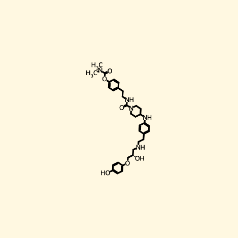 CN(C)C(=O)Oc1ccc(CCNC(=O)N2CCC(Nc3ccc(CCNC[C@H](O)COc4ccc(O)cc4)cc3)CC2)cc1